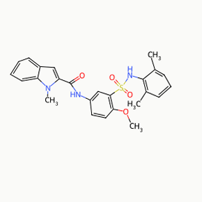 COc1ccc(NC(=O)c2cc3ccccc3n2C)cc1S(=O)(=O)Nc1c(C)cccc1C